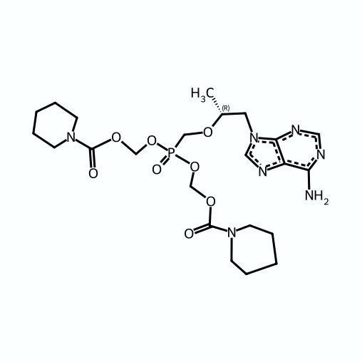 C[C@H](Cn1cnc2c(N)ncnc21)OCP(=O)(OCOC(=O)N1CCCCC1)OCOC(=O)N1CCCCC1